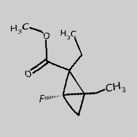 CCC1(C(=O)OC)C2(C)C[C@]21F